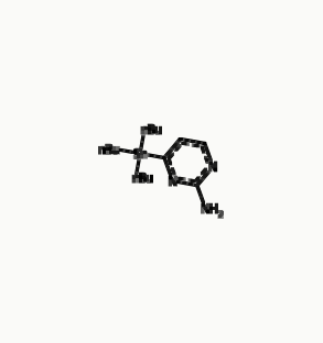 CCC[CH2][Sn]([CH2]CCC)([CH2]CCC)[c]1ccnc(N)n1